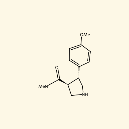 CNC(=O)[C@@H]1CNC[C@H]1c1ccc(OC)cc1